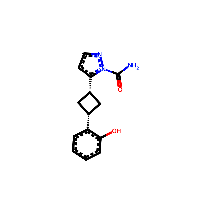 NC(=O)n1n[c]cc1[C@H]1C[C@@H](c2ccccc2O)C1